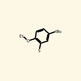 CCOc1ccc(C(C)(C)C)cc1[S]